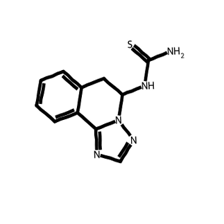 NC(=S)NC1Cc2ccccc2-c2ncnn21